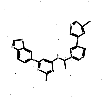 Cc1cncc(-c2cccc(C(C)Nc3cc(-c4ccc5ncsc5c4)nc(C)n3)c2)c1